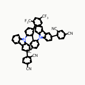 N#Cc1ccc(-c2ccc3c(c2)c2ccccc2n3-c2ccc(C#N)cc2-c2cc(-c3ccc(C(F)(F)F)cc3C(F)(F)F)ccc2-n2c3ccccc3c3cc(-c4ccc(C#N)cc4C#N)ccc32)c(C#N)c1